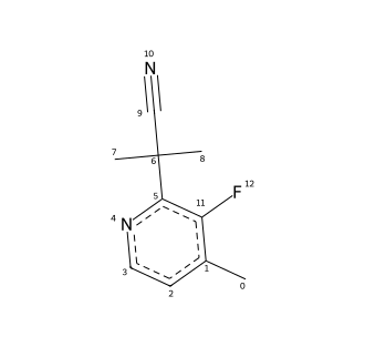 Cc1ccnc(C(C)(C)C#N)c1F